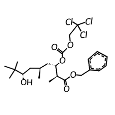 C[C@H](C[C@H](OC(=O)OCC(Cl)(Cl)Cl)[C@H](C)C(=O)OCc1ccccc1)C[C@H](O)C(C)(C)C